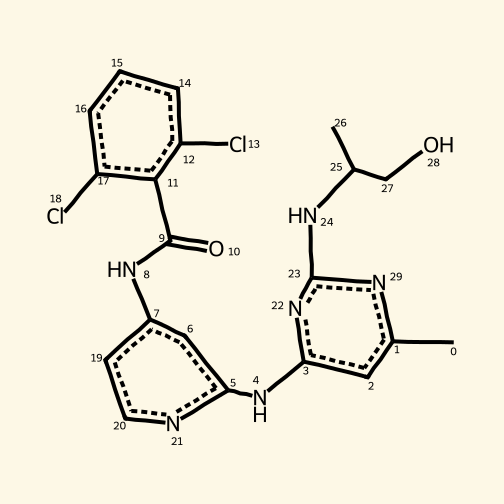 Cc1cc(Nc2cc(NC(=O)c3c(Cl)cccc3Cl)ccn2)nc(NC(C)CO)n1